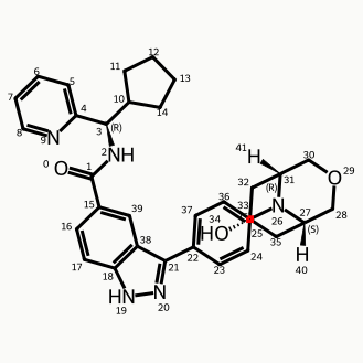 O=C(N[C@@H](c1ccccn1)C1CCCC1)c1ccc2[nH]nc(-c3ccc(N4[C@@H]5COC[C@H]4C[C@@H](O)C5)cc3)c2c1